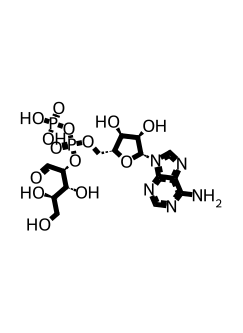 Nc1ncnc2c1ncn2[C@@H]1O[C@H](COP(=O)(O[C@@H](C=O)[C@H](O)[C@H](O)CO)OP(=O)(O)O)[C@@H](O)[C@H]1O